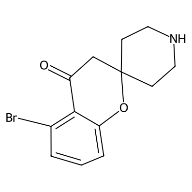 O=C1CC2(CCNCC2)Oc2cccc(Br)c21